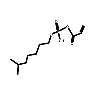 C=CC(=O)OP(=O)(O)OCCCCCC(C)C